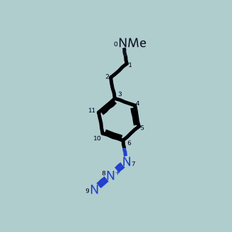 CNCCc1ccc(N=[N+]=[N-])cc1